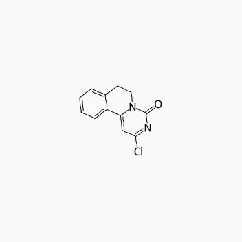 O=c1nc(Cl)cc2n1CCc1ccccc1-2